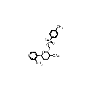 CC(=O)O[C@H]1CC[C@@H](c2ccncc2N)O[C@@H]1COS(=O)(=O)c1ccc(C)cc1